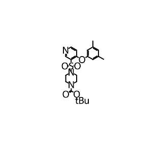 Cc1cc(C)cc(Oc2ccncc2S(=O)(=O)N2CCN(C(=O)OC(C)(C)C)CC2)c1